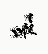 CCOC(=O)Nc1cccc(OC(=O)Nc2ccccc2)c1.COc1cc(OC)nc(NC(=O)NS(=O)(=O)Nc2ccccc2C(=O)C2CC2)n1.Cc1ccc(NC(=O)NC(C)(C)c2ccccc2)cc1.O=C(O)CCCOc1ccc(Cl)cc1Cl.O=C(O)COc1ccc(Cl)cc1Cl